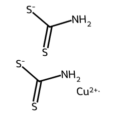 NC(=S)[S-].NC(=S)[S-].[Cu+2]